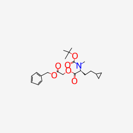 CN(C(=O)OC(C)(C)C)[C@@H](CCC1CC1)C(=O)OCC(=O)OCc1ccccc1